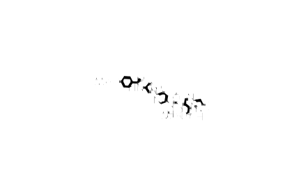 COc1ccc(C(=O)Nc2cnn(-c3ncc(NC(=O)Nc4cnc5cc(Cl)nn5c4[C@H](C)OC)cc3C(F)(F)F)c2)cc1